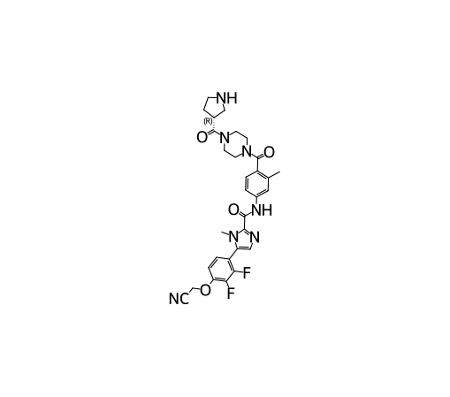 Cc1cc(NC(=O)c2ncc(-c3ccc(OCC#N)c(F)c3F)n2C)ccc1C(=O)N1CCN(C(=O)[C@@H]2CCNC2)CC1